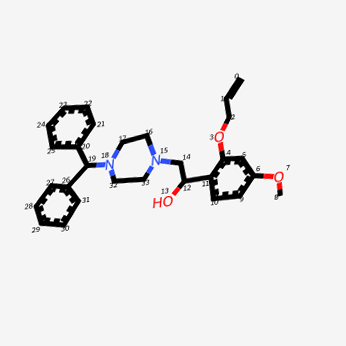 C=CCOc1cc(OC)ccc1C(O)CN1CCN(C(c2ccccc2)c2ccccc2)CC1